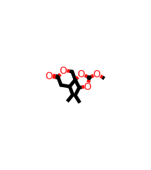 CCC1CC(=O)OCC12OC(OC)OC2CC